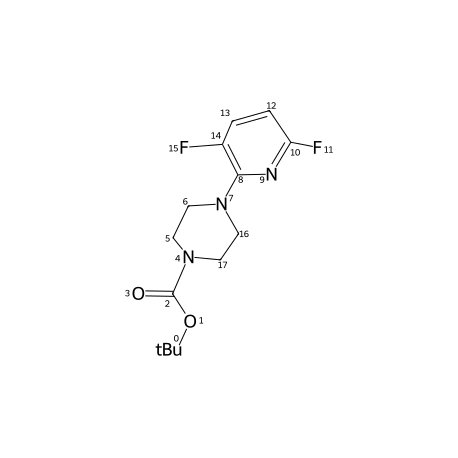 CC(C)(C)OC(=O)N1CCN(c2nc(F)ccc2F)CC1